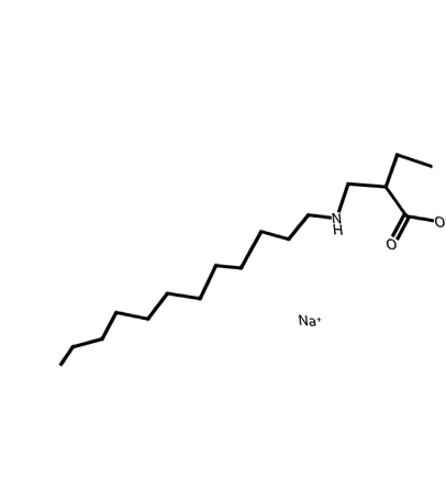 CCCCCCCCCCCCNCC(CC)C(=O)[O-].[Na+]